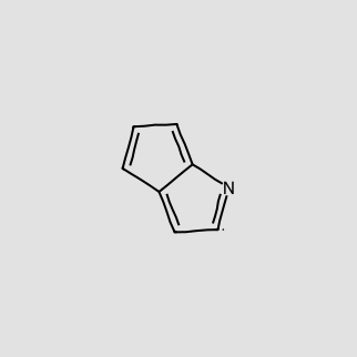 [C]1=NC2=CC=CC2=C1